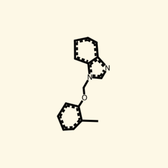 Cc1ccccc1OCn1cnc2ccccc21